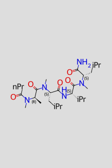 CCCC(=O)N(C)[C@H](C)C(=O)N(C)[C@@H](CC(C)C)C(=O)N[C@H](C(=O)N(C)[C@@H](CC(C)C)C(N)=O)C(C)C